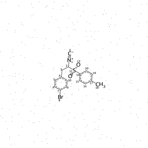 [C-]#[N+]C(Cc1ccc(Br)cc1)S(=O)(=O)c1ccc(C)cc1